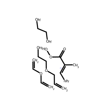 C=CCOCCO.C=COC=C.CCC/C=C(\C)C(=O)OO.OCCO